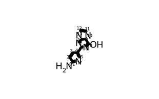 Nc1ccc(-c2nc(O)c3nccnc3n2)cn1